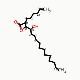 CCCCCCCCCCCCC(O)C1OC(=O)C1CCCCCC